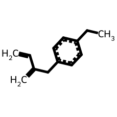 C=CC(=C)Cc1ccc(CC)cc1